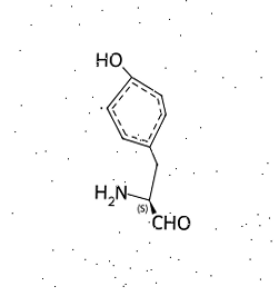 N[C@H](C=O)Cc1c[c]c(O)cc1